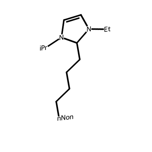 CCCCCCCCCCCCCC1N(CC)C=CN1C(C)C